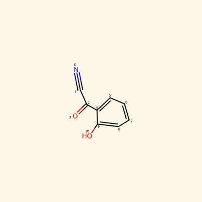 N#CC(=O)c1ccccc1O